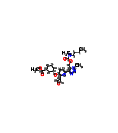 CCCCN(C)C(=O)OCc1c(-c2ccc(O[C@H]3CCC[C@H](C(=O)OC)C3)c(C3COC3)n2)nnn1C